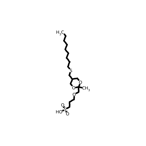 CCCCCCCCCSCC1COC(C)(COCCCS(=O)(=O)O)OC1